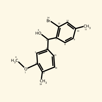 COc1cc(C(O)c2ccc(C)cc2Br)ccc1C